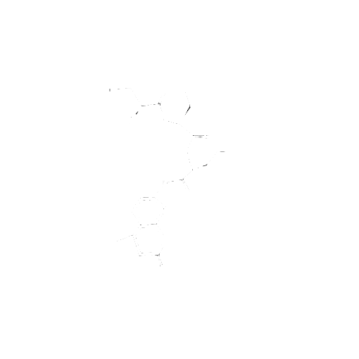 Cc1cc(=O)oc2cc(NC(=O)[C@H](CCC(=O)O)NC(=O)[C@H](CC(C)C)NC(=O)[C@@H](N)CC(C)C)ccc12